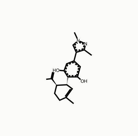 C=C(C)[C@@H]1CCC(C)=C[C@H]1c1c(O)cc(-c2cn(C)nc2C)cc1O